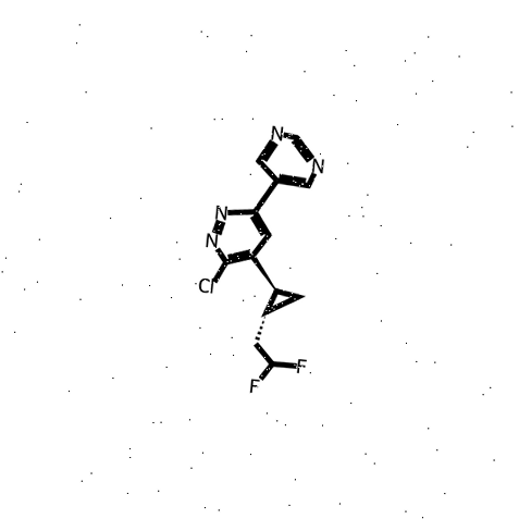 FC(F)C[C@H]1C[C@@H]1c1cc(-c2cncnc2)nnc1Cl